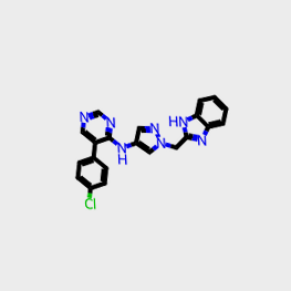 Clc1ccc(-c2cncnc2Nc2cnn(Cc3nc4ccccc4[nH]3)c2)cc1